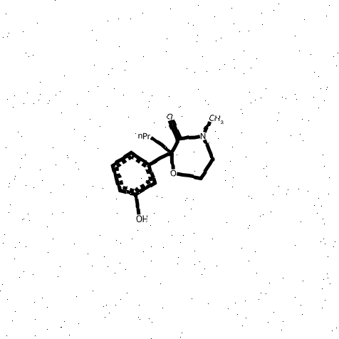 CCCC1(c2cccc(O)c2)OCCN(C)C1=O